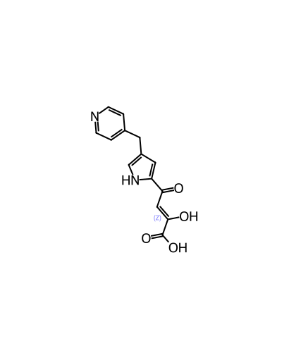 O=C(O)/C(O)=C/C(=O)c1cc(Cc2ccncc2)c[nH]1